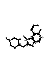 C/C=C\c1c(C)ncc2nc(CC3CCN(C)CC3)n(C)c12